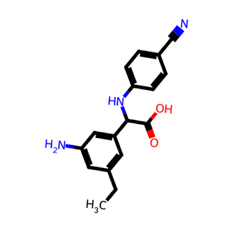 CCc1cc(N)cc(C(Nc2ccc(C#N)cc2)C(=O)O)c1